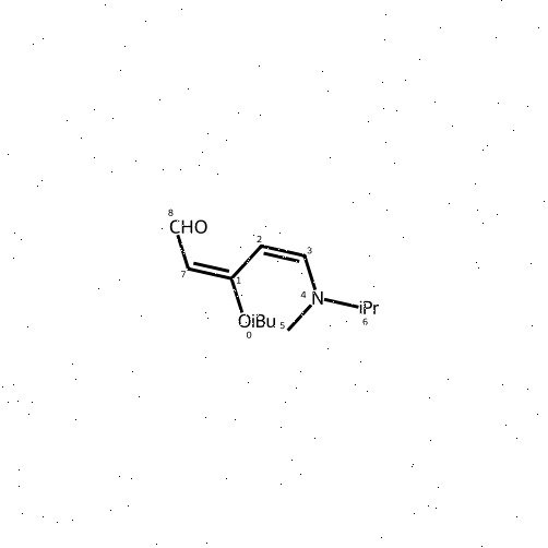 CC(C)COC(/C=C\N(C)C(C)C)=C/C=O